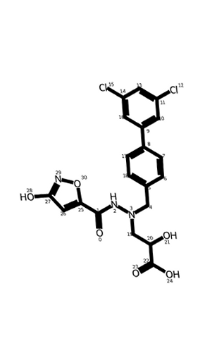 O=C(NN(Cc1ccc(-c2cc(Cl)cc(Cl)c2)cc1)CC(O)C(=O)O)c1cc(O)no1